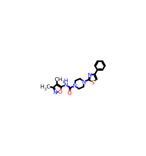 Cc1noc(NC(=O)N2CCN(c3nc(-c4ccccc4)cs3)CC2)c1C